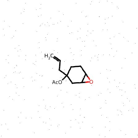 C=CCC1(OC(C)=O)CCC2OC2C1